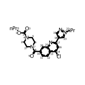 CCCOC(=O)N1CCN(C(=O)c2ccc3c(Cl)cc(-c4cnn(C(C)C)c4)nc3c2)CC1